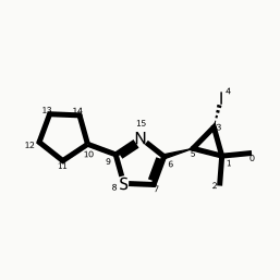 CC1(C)[C@@H](I)[C@@H]1c1csc(C2CCCC2)n1